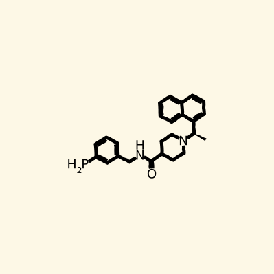 C[C@H](c1cccc2ccccc12)N1CCC(C(=O)NCc2cccc(P)c2)CC1